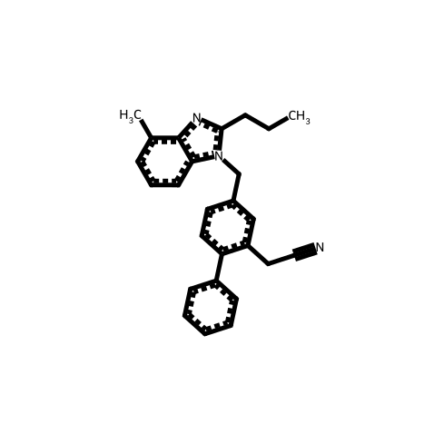 CCCc1nc2c(C)cccc2n1Cc1ccc(-c2ccccc2)c(CC#N)c1